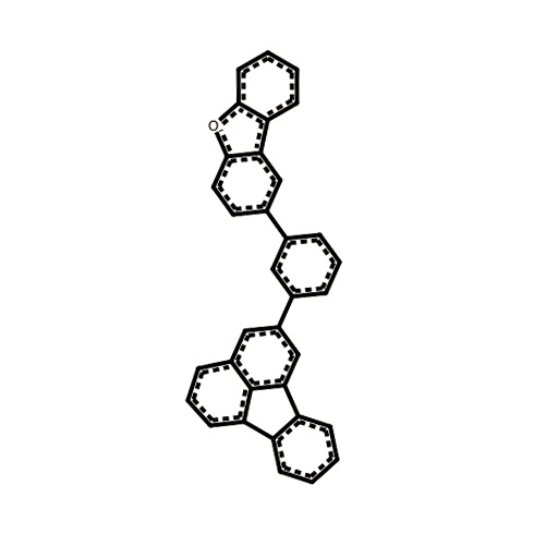 c1cc(-c2cc3c4c(cccc4c2)-c2ccccc2-3)cc(-c2ccc3oc4ccccc4c3c2)c1